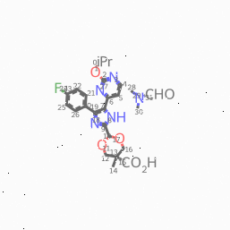 CC(C)Oc1nccc(-c2[nH]c(C3OCC(C)(C(=O)O)CO3)nc2-c2ccc(F)cc2)n1.CN(C)C=O